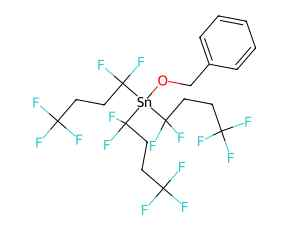 FC(F)(F)CC[C](F)(F)[Sn]([O]Cc1ccccc1)([C](F)(F)CCC(F)(F)F)[C](F)(F)CCC(F)(F)F